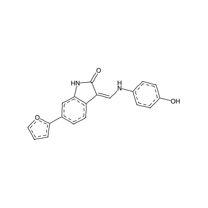 O=C1Nc2cc(-c3ccco3)ccc2C1=CNc1ccc(O)cc1